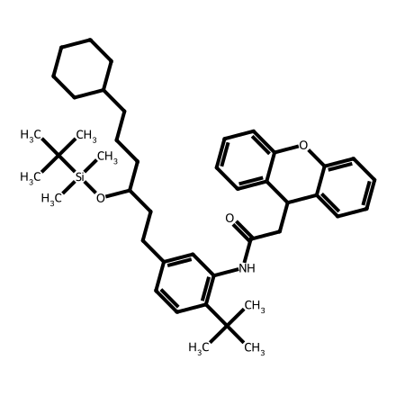 CC(C)(C)c1ccc(CCC(CCCC2CCCCC2)O[Si](C)(C)C(C)(C)C)cc1NC(=O)CC1c2ccccc2Oc2ccccc21